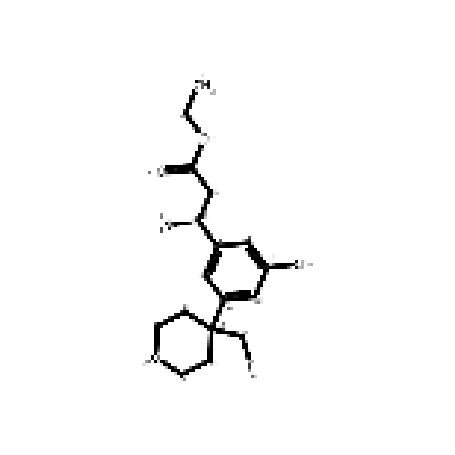 CCOC(=O)C[C@H](N)c1cc(Cl)cc(C2(CF)CCOCC2)c1